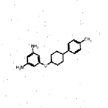 Cc1ccc(C2CCC(Oc3cc(N)cc(N)c3)CC2)cc1